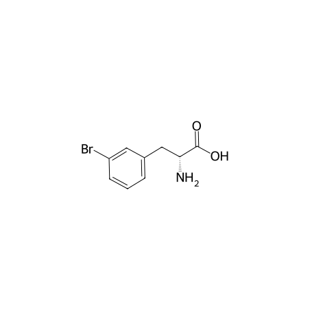 N[C@H](Cc1cccc(Br)c1)C(=O)O